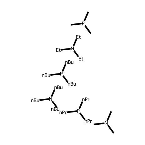 CCCCN(CCCC)CCCC.CCCCP(CCCC)CCCC.CCCP(CCC)CCC.CCN(CC)CC.CN(C)C.CP(C)C